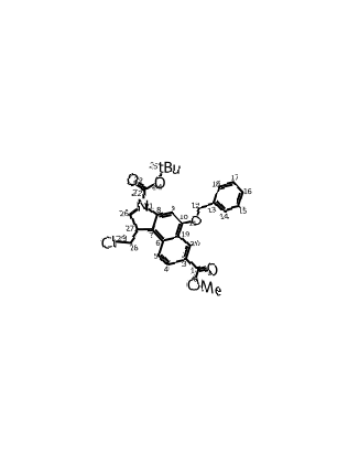 COC(=O)c1ccc2c3c(cc(OCc4ccccc4)c2c1)N(C(=O)OC(C)(C)C)CC3CCl